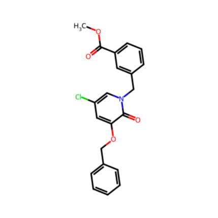 COC(=O)c1cccc(Cn2cc(Cl)cc(OCc3ccccc3)c2=O)c1